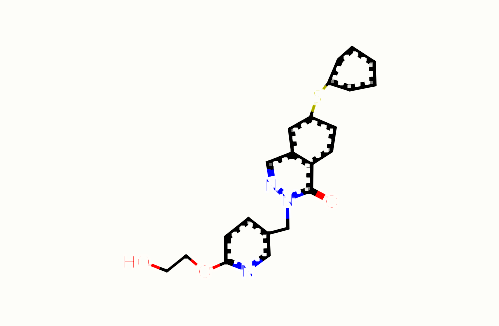 O=c1c2ccc(Sc3ccccc3)cc2cnn1Cc1ccc(OCCO)nc1